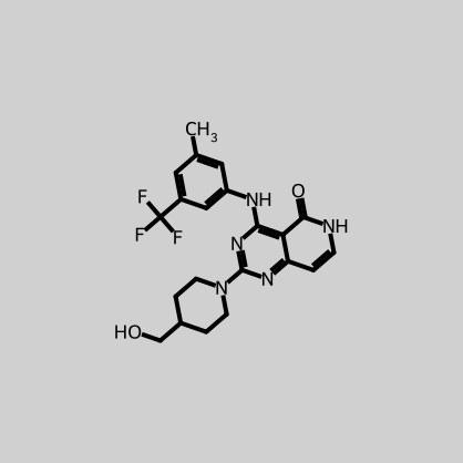 Cc1cc(Nc2nc(N3CCC(CO)CC3)nc3cc[nH]c(=O)c23)cc(C(F)(F)F)c1